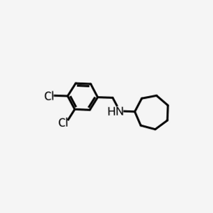 Clc1ccc(CNC2CCCCCC2)cc1Cl